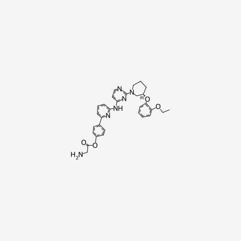 CCOc1ccccc1O[C@@H]1CCCN(c2nccc(Nc3cccc(-c4ccc(OC(=O)CN)cc4)n3)n2)C1